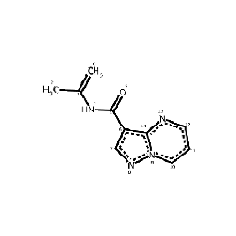 C=C(C)NC(=O)c1cnn2cccnc12